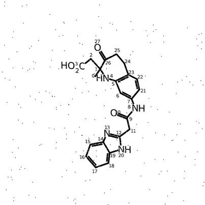 CC1(CC(=O)O)Nc2cc(NC(=O)Cc3nc4ccccc4[nH]3)ccc2CCC1=O